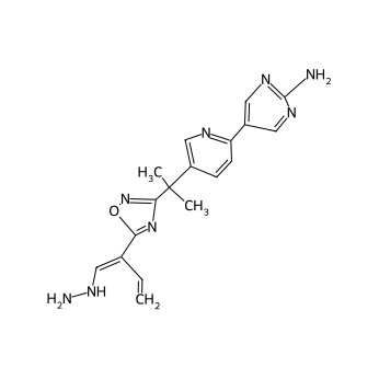 C=C/C(=C\NN)c1nc(C(C)(C)c2ccc(-c3cnc(N)nc3)nc2)no1